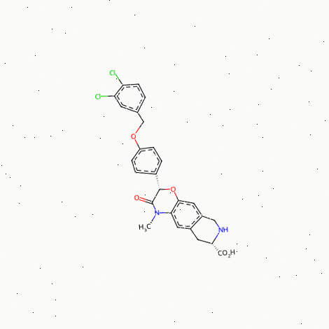 CN1C(=O)[C@H](c2ccc(OCc3ccc(Cl)c(Cl)c3)cc2)Oc2cc3c(cc21)C[C@@H](C(=O)O)NC3